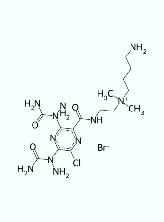 C[N+](C)(CCCCN)CCNC(=O)c1nc(Cl)c(N(N)C(N)=O)nc1N(N)C(N)=O.[Br-]